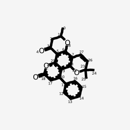 CC1CC(=O)c2c(c3c(c4c(-c5ccccc5)cc(=O)oc24)OC(C)(C)C=C3)O1